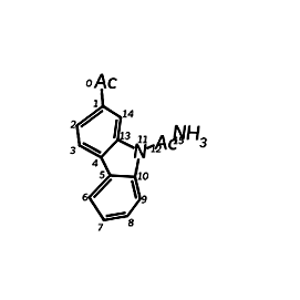 CC(=O)c1ccc2c3ccccc3n(C(C)=O)c2c1.N